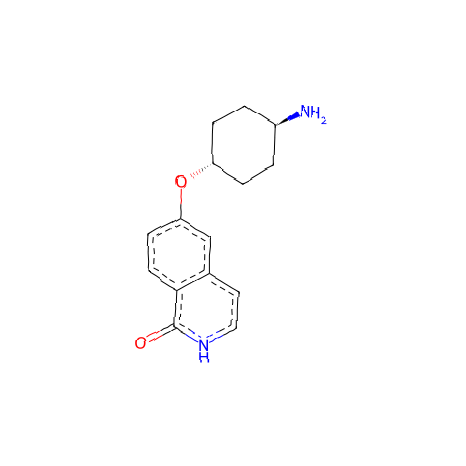 N[C@H]1CC[C@H](Oc2ccc3c(=O)[nH]ccc3c2)CC1